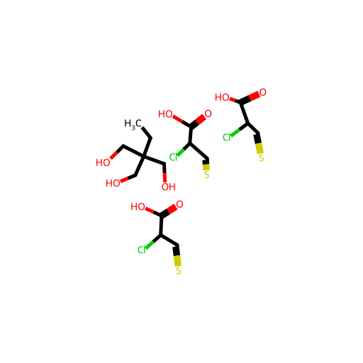 CCC(CO)(CO)CO.O=C(O)C(Cl)C=S.O=C(O)C(Cl)C=S.O=C(O)C(Cl)C=S